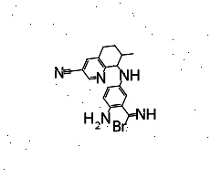 CC1CCc2cc(C#N)cnc2C1Nc1ccc(N)c(C(=N)Br)c1